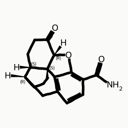 NC(=O)c1ccc2c3c1O[C@H]1C(=O)CC[C@H]4[C@H](CCC[C@]314)C2